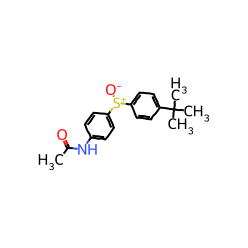 CC(=O)Nc1ccc([S+]([O-])c2ccc(C(C)(C)C)cc2)cc1